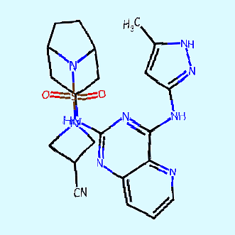 Cc1cc(Nc2nc(NC3CC4CCC(C3)N4S(=O)(=O)N3CC(C#N)C3)nc3cccnc23)n[nH]1